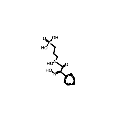 O=C(C(=NO)c1ccccc1)N(O)CCCP(=O)(O)O